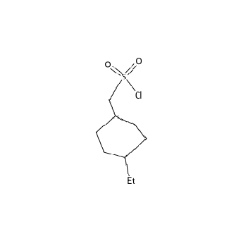 CCC1CC[C](CS(=O)(=O)Cl)CC1